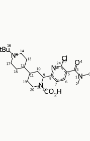 CN(C)C(=O)c1ccc(C2CC(C3CCN(C(C)(C)C)CC3)CCN2C(=O)O)nc1Cl